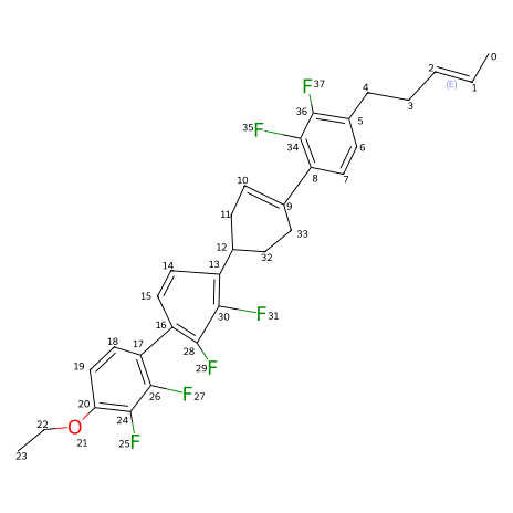 C/C=C/CCc1ccc(C2=CCC(c3ccc(-c4ccc(OCC)c(F)c4F)c(F)c3F)CC2)c(F)c1F